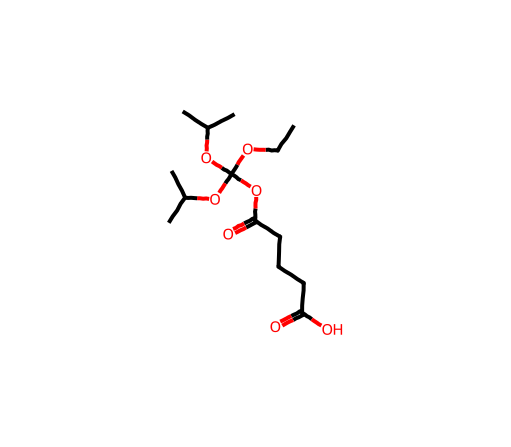 CCOC(OC(=O)CCCC(=O)O)(OC(C)C)OC(C)C